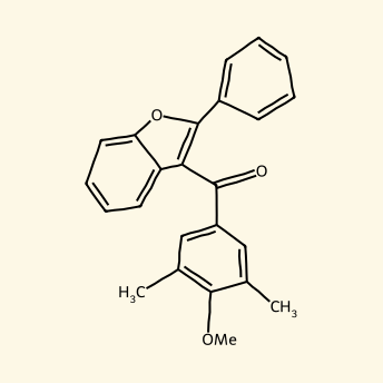 COc1c(C)cc(C(=O)c2c(-c3ccccc3)oc3ccccc23)cc1C